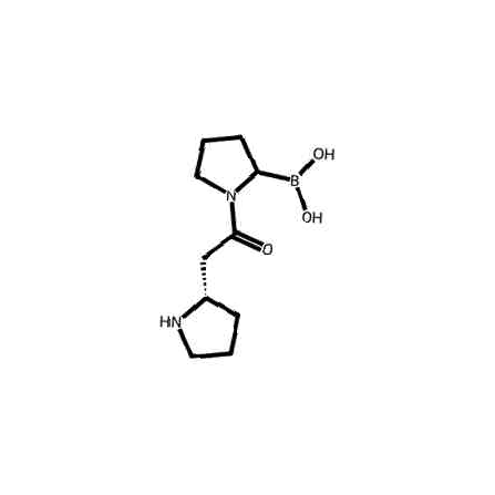 O=C(C[C@@H]1CCCN1)N1CCCC1B(O)O